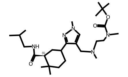 CC(C)CNC(=O)[C@H]1CC(c2nn(C)cc2CN(C)CCN(C)C(=O)OC(C)(C)C)CCC1(C)C